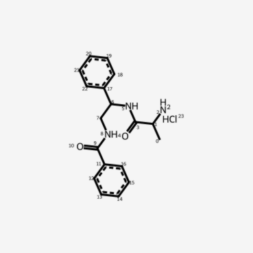 CC(N)C(=O)NC(CNC(=O)c1ccccc1)c1ccccc1.Cl